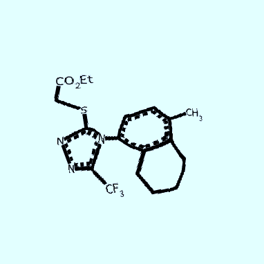 CCOC(=O)CSc1nnc(C(F)(F)F)n1-c1ccc(C)c2c1CCCC2